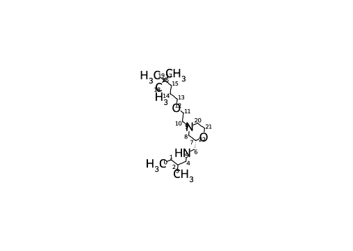 CCC(C)CNC[C@@H]1CN(CCOCCCC(C)(C)C)CCO1